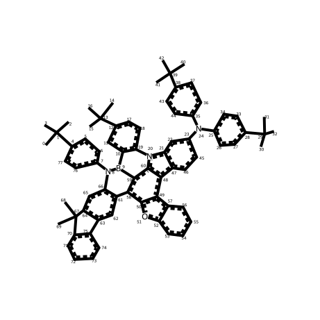 CC(C)(C)c1ccc(N2B3c4cc(C(C)(C)C)ccc4-n4c5cc(N(c6ccc(C(C)(C)C)cc6)c6ccc(C(C)(C)C)cc6)ccc5c5c6c(oc7ccccc76)c(c3c54)-c3cc4c(cc32)C(C)(C)c2ccccc2-4)cc1